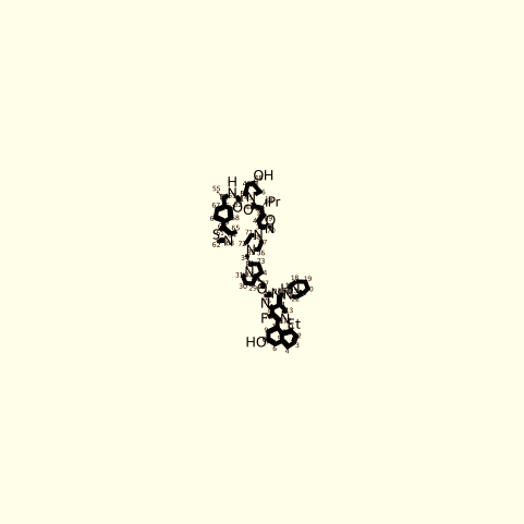 CCc1cccc2cc(O)cc(-c3ncc4c(N5CC6CCC(C5)N6)nc(OC[C@@]56CCCN5[C@H](CN5CCN(c7cc([C@H](C(=O)N8C[C@H](O)C[C@H]8C(=O)N[C@@H](C)c8ccc(-c9scnc9C)cc8)C(C)C)on7)CC5)CC6)nc4c3F)c12